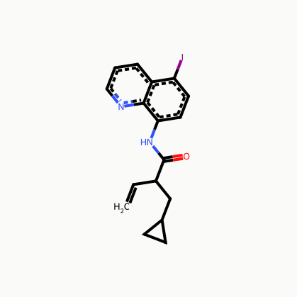 C=CC(CC1CC1)C(=O)Nc1ccc(I)c2cccnc12